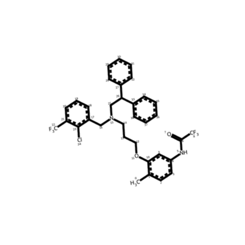 Cc1ccc(NC(=O)C(F)(F)F)cc1OCCCN(Cc1cccc(C(F)(F)F)c1Cl)CC(c1ccccc1)c1ccccc1